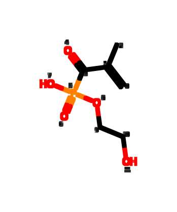 C=C(C)C(=O)P(=O)(O)OCCO